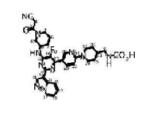 N#CCC(=O)N1CCC[C@@H](Nc2nc(-c3cnn4ccccc34)nc(-c3ccc(N4CCC(CNC(=O)O)CC4)nc3)c2F)C1